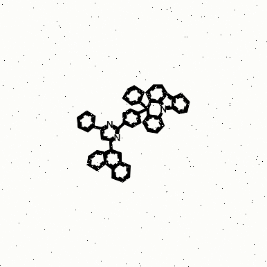 c1ccc(-c2cc(-c3cc4ccccc4c4ccccc34)nc(-c3ccc(C4(c5ccccc5)c5ccccc5-n5c6ccccc6c6cccc4c65)cc3)n2)cc1